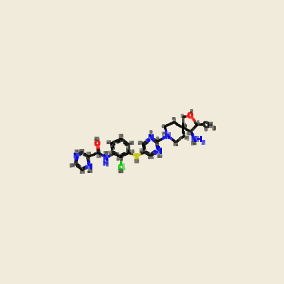 C[C@@H]1OCC2(CCN(c3ncc(Sc4cccc(NC(=O)c5cnccn5)c4Cl)cn3)CC2)[C@@H]1N